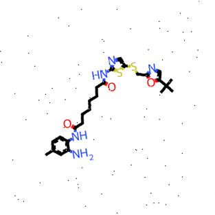 Cc1ccc(NC(=O)CCCCCCC(=O)Nc2ncc(SCc3ncc(C(C)(C)C)o3)s2)c(N)c1